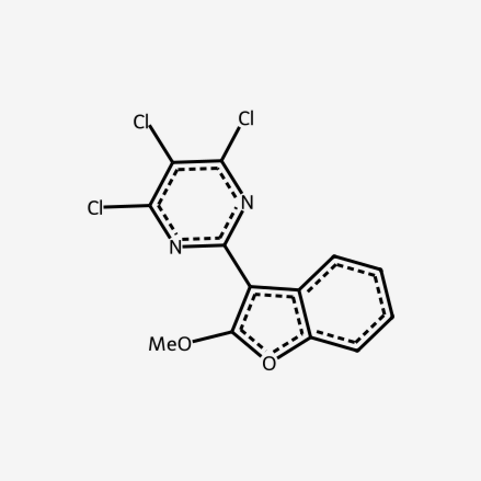 COc1oc2ccccc2c1-c1nc(Cl)c(Cl)c(Cl)n1